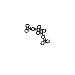 O=P12c3ccccc3B(c3ccc(-n4c5ccccc5c5ccccc54)cc3)c3cccc(c31)B(c1ccc(-n3c4ccccc4c4ccccc43)cc1)c1ccccc12